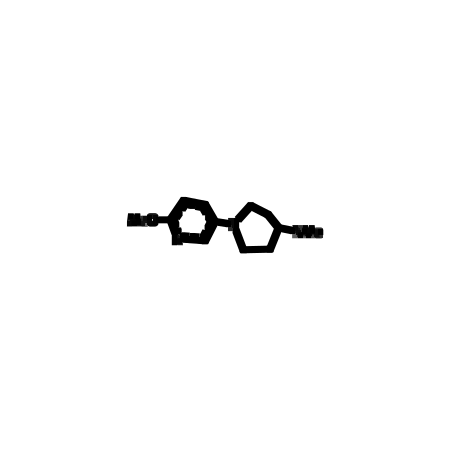 CNC1CCN(c2ccc(OC)nc2)CC1